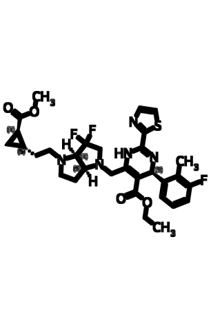 CCOC(=O)C1=C(CN2CC(F)(F)[C@H]3[C@@H]2CCN3CC[C@@H]2C[C@H]2C(=O)OC)NC(c2nccs2)=N[C@H]1c1cccc(F)c1C